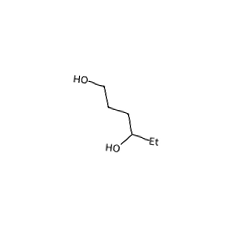 CCC(O)CCCO